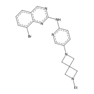 CCN1CC2(C1)CN(c1ccc(Nc3ncc4cccc(Br)c4n3)nc1)C2